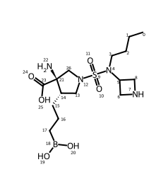 CCCCN(C1CNC1)S(=O)(=O)N1C[C@H](CCCB(O)O)[C@](N)(C(=O)O)C1